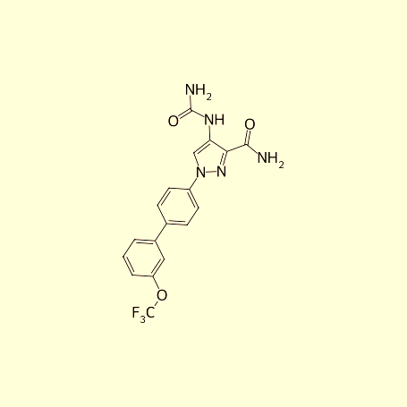 NC(=O)Nc1cn(-c2ccc(-c3cccc(OC(F)(F)F)c3)cc2)nc1C(N)=O